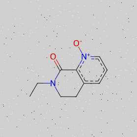 CCN1CCc2ccc[n+]([O-])c2C1=O